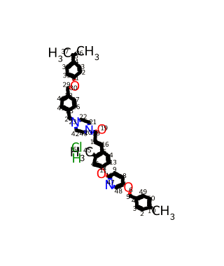 Cc1ccc(COc2ccc(Oc3ccc(/C=C/C(=O)N4CCN(Cc5ccc(COc6ccc(C(C)C)cc6)cc5)CC4)c(C)c3)nc2)cc1.Cl